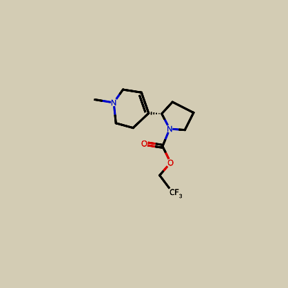 CN1CC=C([C@@H]2CCCN2C(=O)OCC(F)(F)F)CC1